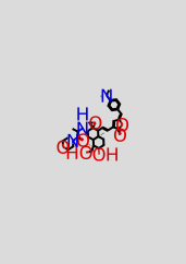 CC(NC1CC2[C@](C)(CC[C@@H](O)[C@@]2(C)CO)C(/C=C/C2=CC(=C\c3ccc(N(C)C)cc3)/OC2=O)C12CO2)C(=O)N1CCOCC1